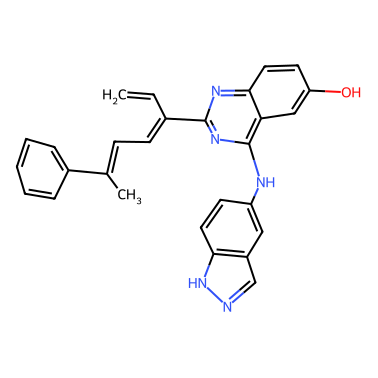 C=C/C(=C\C=C(/C)c1ccccc1)c1nc(Nc2ccc3[nH]ncc3c2)c2cc(O)ccc2n1